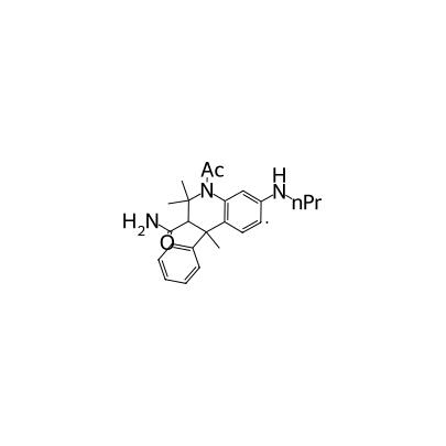 CCCNc1[c]cc2c(c1)N(C(C)=O)C(C)(C)C(C(N)=O)C2(C)c1ccccc1